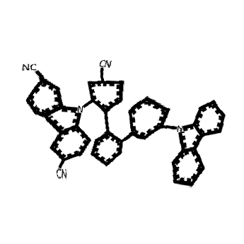 N#Cc1ccc(-c2ccccc2-c2cccc(-n3c4ccccc4c4ccccc43)c2)c(-n2c3ccc(C#N)cc3c3ccc(C#N)cc32)c1